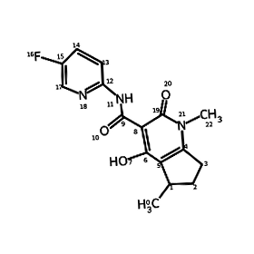 CC1CCc2c1c(O)c(C(=O)Nc1ccc(F)cn1)c(=O)n2C